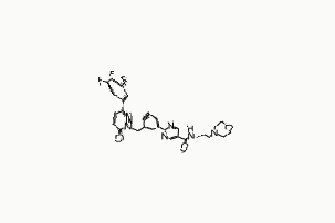 O=C(NCCCN1CCOCC1)c1cnc(-c2cccc(Cn3nc(-c4cc(F)c(F)c(F)c4)ccc3=O)c2)nc1